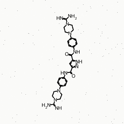 N=C(N)N1CCN(c2ccc(NC(=O)c3cc(C(=O)Nc4ccc(N5CCN(C(=N)N)CC5)cc4)[nH]n3)cc2)CC1